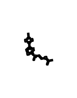 CC(C)OCCN(C)c1nc(C2OC(C)O2)co1